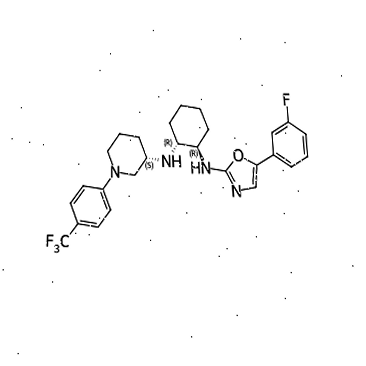 Fc1cccc(-c2cnc(N[C@@H]3CCCC[C@H]3N[C@H]3CCCN(c4ccc(C(F)(F)F)cc4)C3)o2)c1